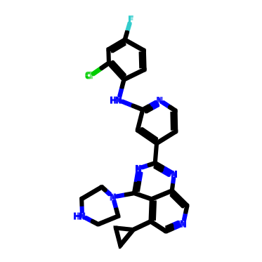 Fc1ccc(Nc2cc(-c3nc(N4CCNCC4)c4c(C5CC5)cncc4n3)ccn2)c(Cl)c1